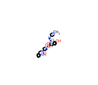 CN1CCC(N=C=C=NC(=O)[C@@H](Cc2ccc(O)c(Cl)c2)OC(=O)N2CCC(N3CCc4ccccc4NC3=O)CC2)CC1